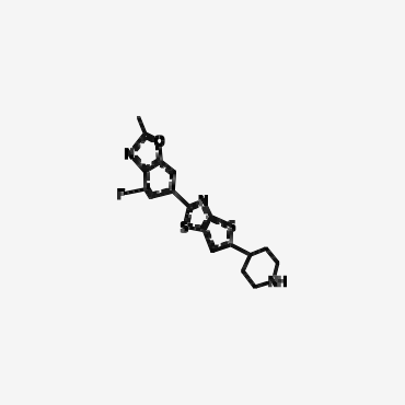 Cc1nc2c(F)cc(-c3nc4sc(C5CCNCC5)cc4s3)cc2o1